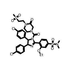 CCOc1cc(S(=O)(=O)N(C)C)ccc1C1=NC(c2ccc(Cl)cc2)C(c2ccc(Cl)cc2)N1C(=O)N1CCN(CCS(C)(=O)=O)C(=O)C1